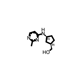 Cc1nccc(N[C@H]2CC[C@@H](CO)C2)n1